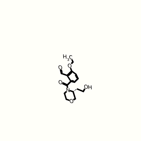 CCOc1cccc(C(=O)N2CCOC[C@H]2CCO)c1C=O